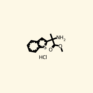 COC(=O)C(C)(N)c1cc2ccccc2s1.Cl